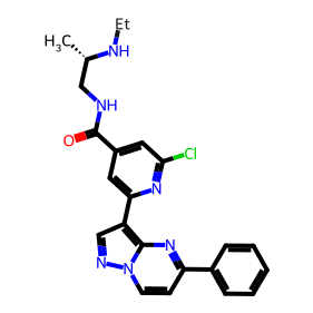 CCN[C@@H](C)CNC(=O)c1cc(Cl)nc(-c2cnn3ccc(-c4ccccc4)nc23)c1